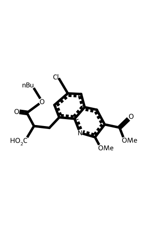 CCCCOC(=O)C(Cc1cc(Cl)cc2cc(C(=O)OC)c(OC)nc12)C(=O)O